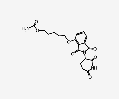 NC(=O)OCCCCCOc1cccc2c1C(=O)N(C1CCC(=O)NC1=O)C2=O